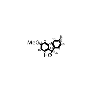 COc1ccc([C@](C)(O)c2ccc(F)cc2)cc1